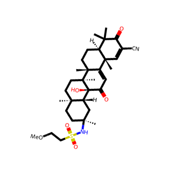 COCCS(=O)(=O)N[C@@]1(C)CC[C@@]2(C)CC[C@@]3(C)[C@]4(C)CC[C@H]5C(C)(C)C(=O)C(C#N)=C[C@]5(C)C4=CC(=O)[C@]3(O)[C@@H]2C1